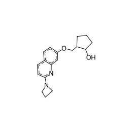 OC1CCCC1COc1ccc2ccc(N3CCC3)nc2c1